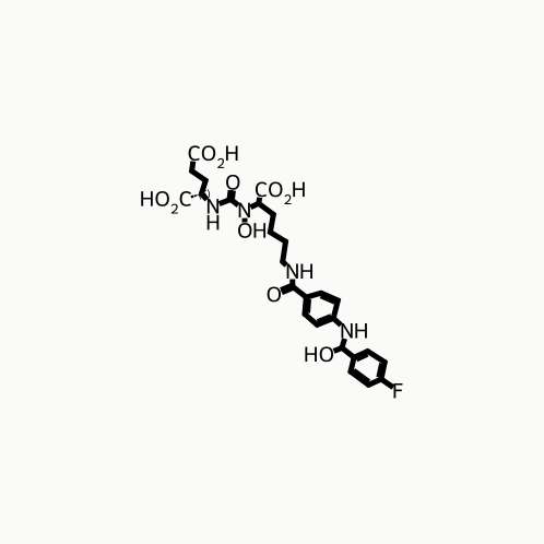 O=C(O)CC[C@H](NC(=O)N(O)C(CCCCNC(=O)c1ccc(NC(O)c2ccc(F)cc2)cc1)C(=O)O)C(=O)O